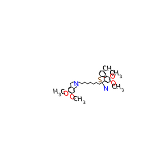 COc1ccc(C(C#N)(CCCCCCCCN2CCc3cc(OC)c(OC)cc3C2)Sc2ccc(C)cc2)cc1OC